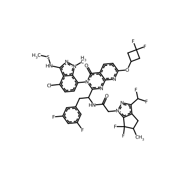 CSNc1nn(C)c2c(-n3c(C(Cc4cc(F)cc(F)c4)NC(=O)Cn4nc(C(F)F)c5c4C(F)(F)C(C)C5)nc4nc(OC5CC(F)(F)C5)ccc4c3=O)ccc(Cl)c12